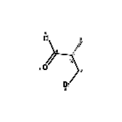 C[C@H](CBr)C(=O)Cl